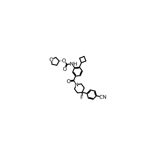 N#Cc1ccc(C2(F)CCN(C(=O)c3ccc(C4CCC4)c(NC(=O)O[C@@H]4CCOC4)c3)CC2)cc1